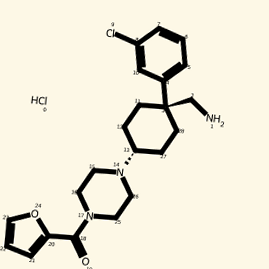 Cl.NC[C@]1(c2cccc(Cl)c2)CC[C@@H](N2CCN(C(=O)c3ccco3)CC2)CC1